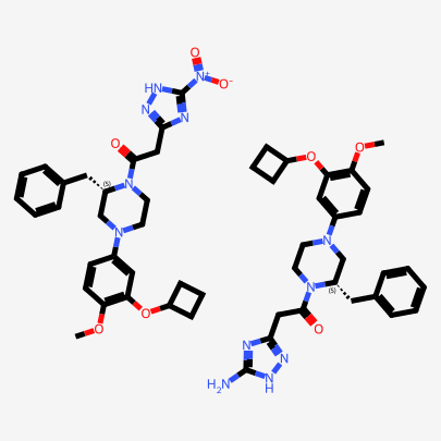 COc1ccc(N2CCN(C(=O)Cc3n[nH]c(N)n3)[C@@H](Cc3ccccc3)C2)cc1OC1CCC1.COc1ccc(N2CCN(C(=O)Cc3n[nH]c([N+](=O)[O-])n3)[C@@H](Cc3ccccc3)C2)cc1OC1CCC1